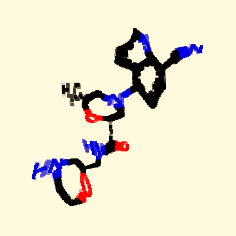 C[C@@H]1CN(c2ccc(C#N)c3ncccc23)C[C@H](C(=O)NC[C@@H]2CNCCO2)O1